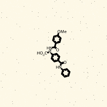 COc1ccc(C(=O)NN(C(=O)O)c2ccc(C(=O)Nc3ccccc3)cc2)cc1